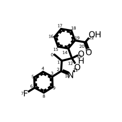 CC1C(c2ccc(F)cc2)=NOC1(O)c1ccccc1C(=O)O